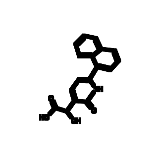 O=C(O)C(O)c1ccc(-c2cccc3ccccc23)[nH]c1=O